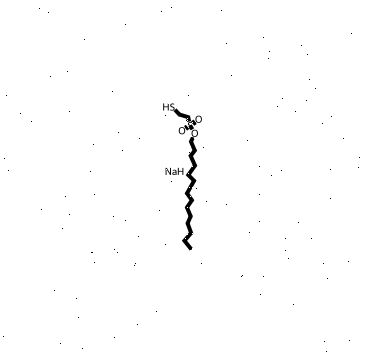 CCCCCCCCCCCCCCOS(=O)(=O)CCS.[NaH]